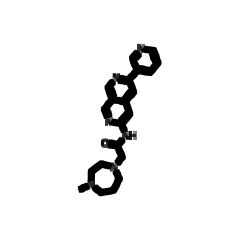 CN1CCCN(CC(=O)Nc2cc3cc(-c4cccnc4)ncc3cn2)CC1